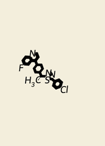 C[C@@H](c1nnc(-c2ccc(Cl)cc2)s1)C1CCC(c2ccnc3ccc(F)cc23)CC1